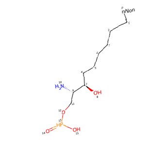 CCCCCCCCCCCCCCC[C@@H](O)[C@@H](N)CO[PH](=O)O